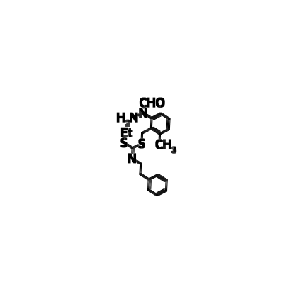 CCSC(=NCCc1ccccc1)SCc1c(C)cccc1N(N)C=O